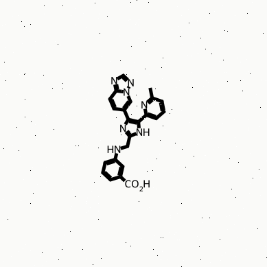 Cc1cccc(-c2[nH]c(CNc3cccc(C(=O)O)c3)nc2-c2ccc3ncnn3c2)n1